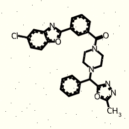 Cc1nnc(C(c2ccccc2)N2CCN(C(=O)c3cccc(-c4nc5cc(Cl)ccc5o4)c3)CC2)o1